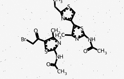 CC(=O)Nc1nc(C)c(C(=O)CBr)s1.CCc1nc(-c2sc(NC(C)=O)nc2C)cs1